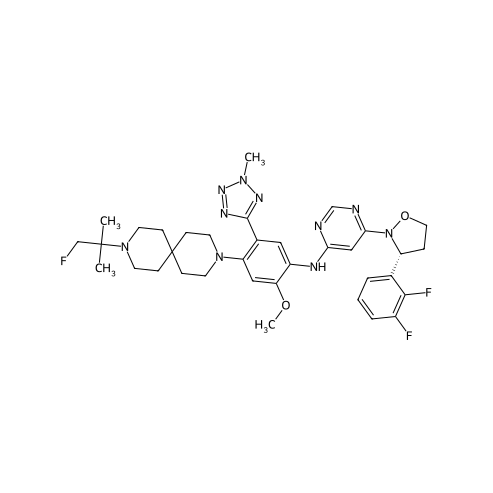 COc1cc(N2CCC3(CC2)CCN(C(C)(C)CF)CC3)c(-c2nnn(C)n2)cc1Nc1cc(N2OCC[C@@H]2c2cccc(F)c2F)ncn1